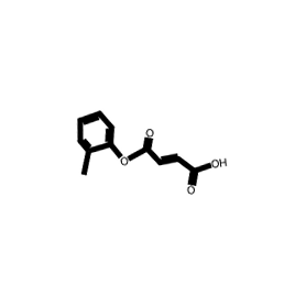 Cc1ccccc1OC(=O)/C=C/C(=O)O